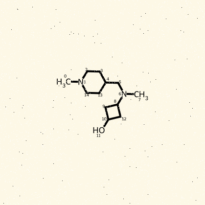 CN1CCC(CN(C)C2CC(O)C2)CC1